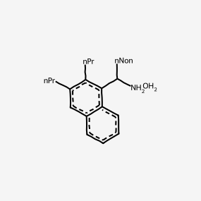 CCCCCCCCCC(N)c1c(CCC)c(CCC)cc2ccccc12.O